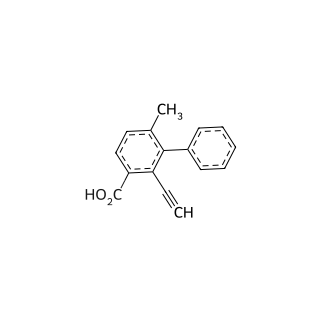 C#Cc1c(C(=O)O)ccc(C)c1-c1ccccc1